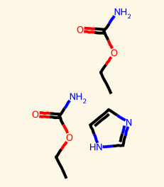 CCOC(N)=O.CCOC(N)=O.c1c[nH]cn1